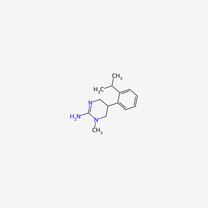 CC(C)c1ccccc1C1CN=C(N)N(C)C1